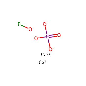 O=P([O-])([O-])[O-].[Ca+2].[Ca+2].[O-]F